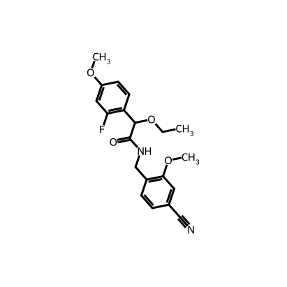 CCOC(C(=O)NCc1ccc(C#N)cc1OC)c1ccc(OC)cc1F